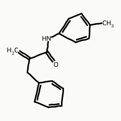 C=C(Cc1ccccc1)C(=O)Nc1ccc(C)cc1